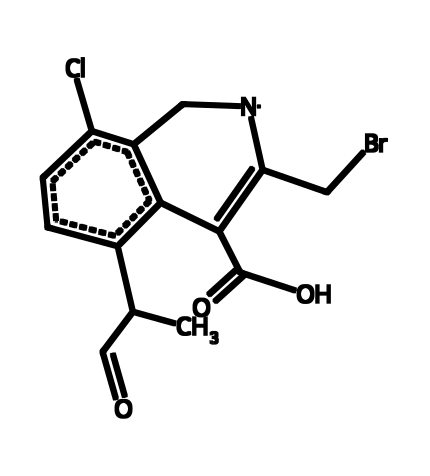 CC(C=O)c1ccc(Cl)c2c1C(C(=O)O)=C(CBr)[N]C2